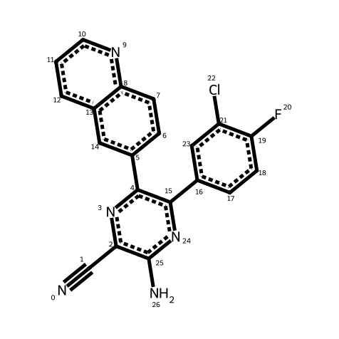 N#Cc1nc(-c2ccc3ncccc3c2)c(-c2ccc(F)c(Cl)c2)nc1N